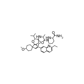 CCc1ccc2ccc(/C=C/C3(C(=O)OC(C(=O)NC(C)C(=O)N4CCCC(C(N)=O)N4)C(C)C)CCC(OC)CC3)cc2n1